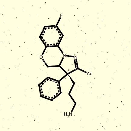 CC(=O)C1=NN2c3cc(F)ccc3OCC2[C@@]1(CCCN)c1ccccc1